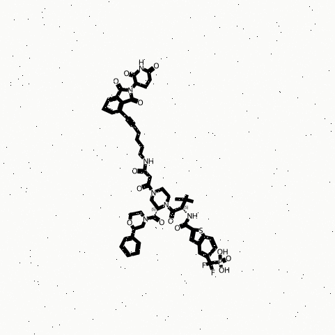 CC(C)(C)[C@H](NC(=O)c1cc2cc(C(F)(F)P(=O)(O)O)ccc2s1)C(=O)N1CCN(C(=O)CC(=O)NCCCCC#Cc2cccc3c2C(=O)N(C2CCC(=O)NC2=O)C3=O)C[C@H]1C(=O)N1CCOC(c2ccccc2)C1